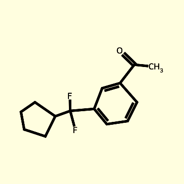 CC(=O)c1cccc(C(F)(F)C2CCCC2)c1